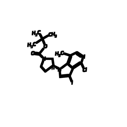 Cc1cnc(Cl)c2c(I)cn([C@H]3CCN(C(=O)OC(C)(C)C)C3)c12